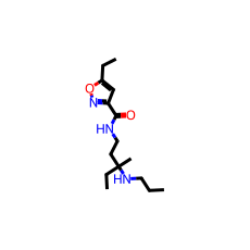 CCCNC(C)(CC)CCNC(=O)c1cc(CC)on1